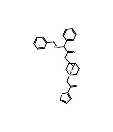 O=C(C[N+]12CCC(CC1)C(OC(=O)C(NCc1ccccc1)c1ccccc1)C2)c1cccs1